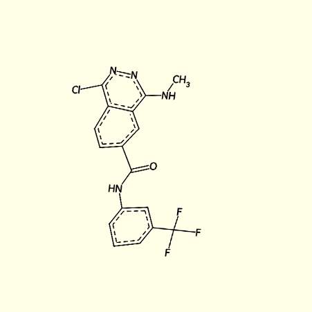 CNc1nnc(Cl)c2ccc(C(=O)Nc3cccc(C(F)(F)F)c3)cc12